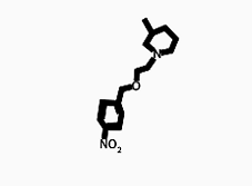 CC1CCCN(CCOCc2ccc([N+](=O)[O-])cc2)C1